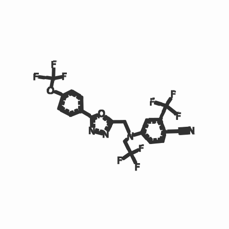 N#Cc1ccc(N(Cc2nnc(-c3ccc(OC(F)(F)F)cc3)o2)CC(F)(F)F)cc1C(F)(F)F